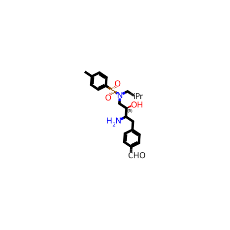 Cc1ccc(S(=O)(=O)N(CC(C)C)C[C@@H](O)C(N)Cc2ccc(C=O)cc2)cc1